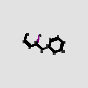 C/C=C\[C@@H](I)C[C@@H]1C=CC=CC1